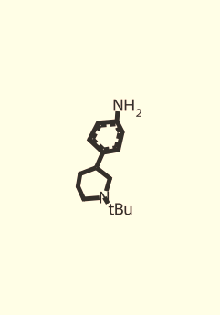 CC(C)(C)N1CCCC(c2ccc(N)cc2)C1